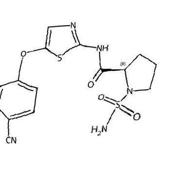 N#Cc1ccc(Oc2cnc(NC(=O)[C@H]3CCCN3S(N)(=O)=O)s2)cc1